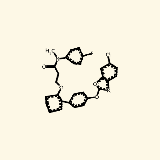 CN(C(=O)CCOc1ccccc1-c1ccc(Oc2nc3ccc(Cl)cc3o2)cc1)c1ccc(F)cc1